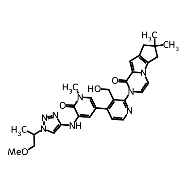 COCC(C)n1cc(Nc2cc(-c3ccnc(-n4ccn5c6c(cc5c4=O)CC(C)(C)C6)c3CO)cn(C)c2=O)nn1